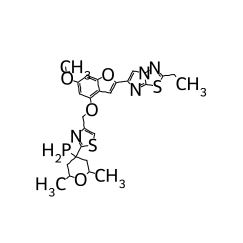 CCc1nn2cc(-c3cc4c(OCc5csc(C6(P)CC(C)OC(C)C6)n5)cc(OC)cc4o3)nc2s1